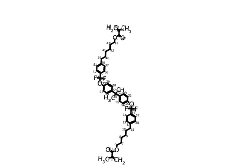 C=C(C)C(=O)OCCCCCCc1ccc(C(F)(F)Oc2ccc(C(C)(C)c3ccc(OC(F)(F)c4ccc(CCCCCCOC(=O)C(=C)C)cc4)cc3)cc2)cc1